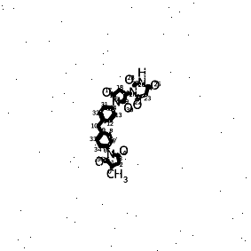 CC1CC(=O)N(c2ccc(Cc3ccc(N4C(=O)CC(N5C(=O)CC(=O)NC5=O)C4=O)cc3)cc2)C1=O